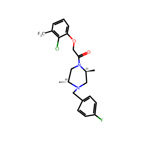 C[C@@H]1CN(C(=O)COc2cccc(C(F)(F)F)c2Cl)[C@@H](C)CN1Cc1ccc(F)cc1